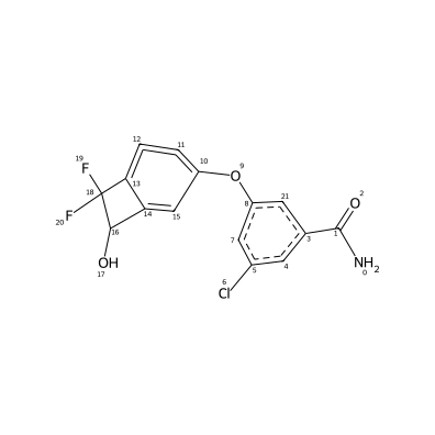 NC(=O)c1cc(Cl)cc(OC2=C=C=C3C(=C2)C(O)C3(F)F)c1